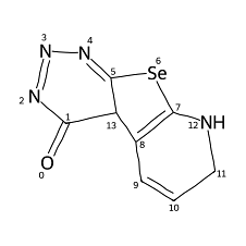 O=C1N=NN=C2[Se]C3=C(C=CCN3)C12